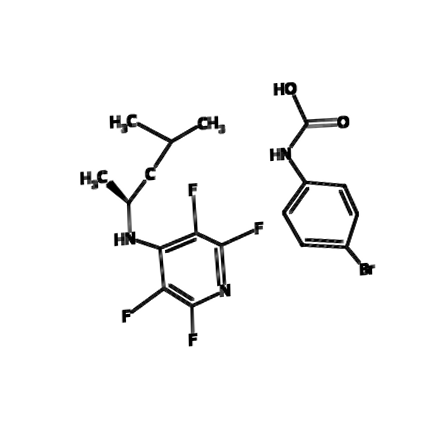 CC(C)C[C@H](C)Nc1c(F)c(F)nc(F)c1F.O=C(O)Nc1ccc(Br)cc1